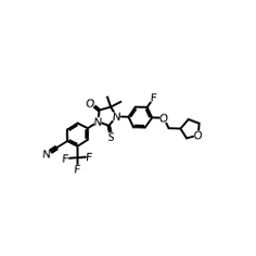 CC1(C)C(=O)N(c2ccc(C#N)c(C(F)(F)F)c2)C(=S)N1c1ccc(OCC2CCOC2)c(F)c1